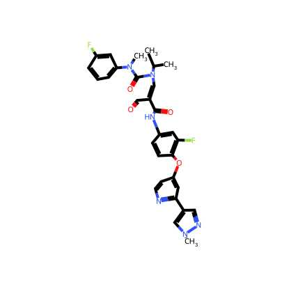 CC(C)N(/C=C(\C=O)C(=O)Nc1ccc(Oc2ccnc(-c3cnn(C)c3)c2)c(F)c1)C(=O)N(C)c1cccc(F)c1